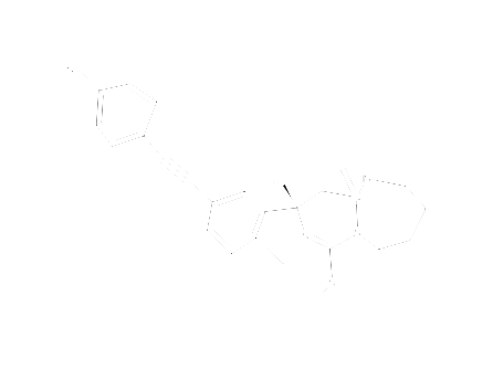 C[C@@]1(c2cc(C#Cc3ccc(C#N)cc3)ccc2F)C[SH]2(=O)NCCCCN2C(NC(=O)O)=N1